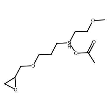 COCC[SiH](CCCOCC1CO1)OC(C)=O